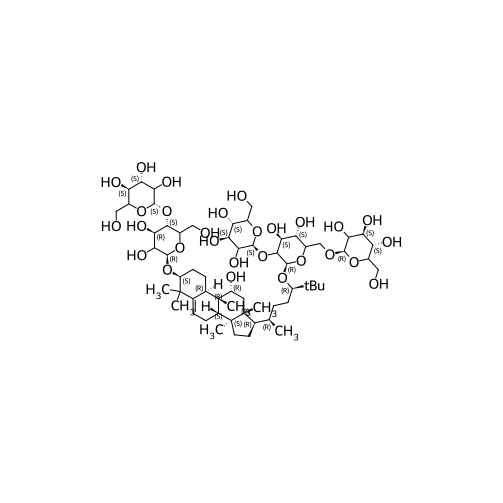 C[C@H](CC[C@@H](O[C@@H]1OC(CO[C@@H]2OC(CO)[C@@H](O)[C@H](O)C2O)[C@@H](O)[C@H](O)C1O[C@@H]1OC(CO)[C@@H](O)[C@H](O)C1O)C(C)(C)C)[C@H]1CC[C@@]2(C)[C@@H]3CC=C4[C@@H](CC[C@H](O[C@@H]5OC(CO)[C@@H](O[C@@H]6OC(CO)[C@@H](O)[C@H](O)C6O)[C@H](O)C5O)C4(C)C)[C@]3(C)[C@H](O)C[C@]12C